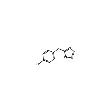 Clc1ccc(Cc2nnn[nH]2)cc1